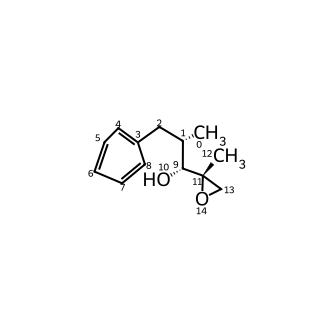 C[C@@H](Cc1ccccc1)[C@@H](O)[C@]1(C)CO1